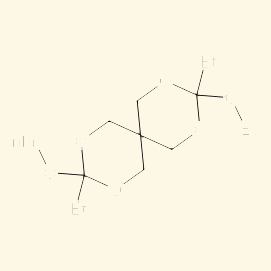 CCCOC1(CC)OCC2(COC(CC)(OCC)OC2)CO1